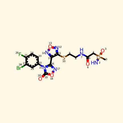 CS(=N)(=O)CC(=O)NCCSc1nonc1-c1noc(=O)n1-c1ccc(F)c(Br)c1